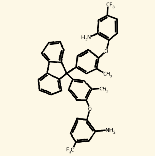 Cc1cc(C2(c3ccc(Oc4ccc(C(F)(F)F)cc4N)c(C)c3)c3ccccc3-c3ccccc32)ccc1Oc1ccc(C(F)(F)F)cc1N